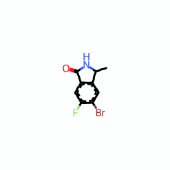 CC1NC(=O)c2cc(F)c(Br)cc21